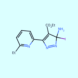 CCOC(=O)C1=C(c2cccc(CC)n2)N=NC1(N)I